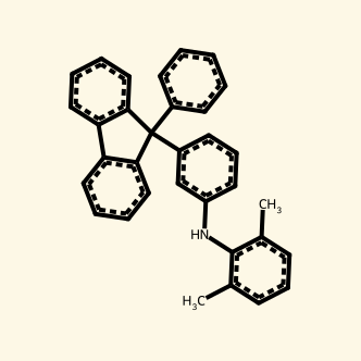 Cc1cccc(C)c1Nc1cccc(C2(c3ccccc3)c3ccccc3-c3ccccc32)c1